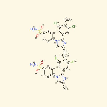 COc1c(Cl)cc(-c2nc(C(F)(F)F)cn2-c2ccc(S(N)(=O)=O)cc2)cc1Cl.Cc1c(F)cc(-c2nc(C(F)(F)F)cn2-c2ccc(S(N)(=O)=O)cc2)cc1F